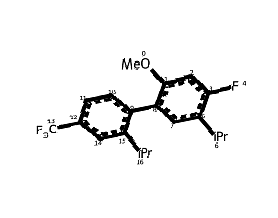 COc1cc(F)c(C(C)C)cc1-c1ccc(C(F)(F)F)cc1C(C)C